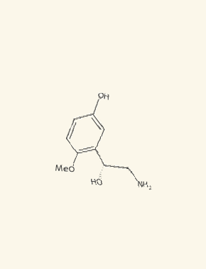 COc1ccc(O)cc1[C@@H](O)CN